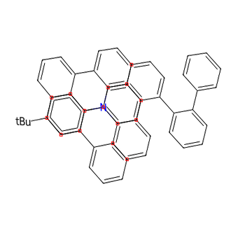 CC(C)(C)c1ccc(N(c2ccccc2-c2ccccc2-c2ccccc2-c2ccccc2)c2ccccc2-c2cccc3cccc(-c4ccccc4)c23)c(-c2ccccc2)c1